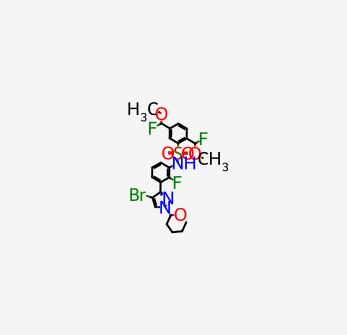 COC(F)c1ccc(C(F)OC)c(S(=O)(=O)Nc2cccc(-c3nn(C4CCCCO4)cc3Br)c2F)c1